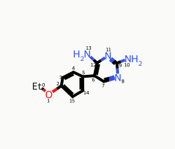 CCOc1ccc(-c2cnc(N)nc2N)cc1